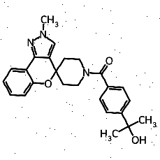 Cn1cc2c(n1)-c1ccccc1OC21CCN(C(=O)c2ccc(C(C)(C)O)cc2)CC1